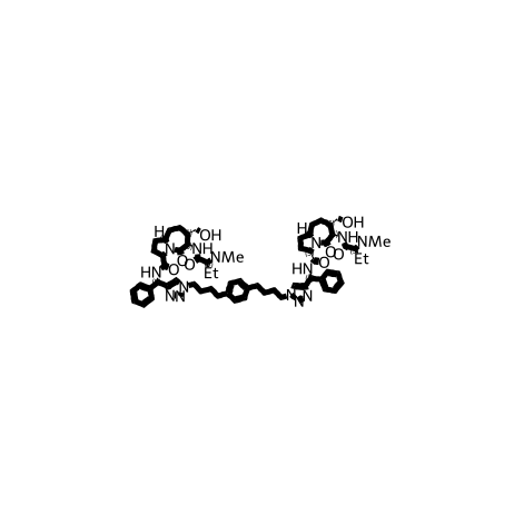 CC[C@H](NC)C(=O)N[C@@H]1C(=O)N2C(C(=O)N[C@@H](c3ccccc3)c3cn(CCCCc4ccc(CCCCn5cc([C@@H](NC(=O)[C@@H]6CC[C@@H]7CC[C@H](CO)[C@H](NC(=O)[C@H](CC)NC)C(=O)N76)c6ccccc6)nn5)cc4)nn3)CC[C@@H]2CC[C@@H]1CO